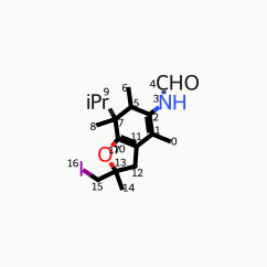 CC1=C(NC=O)C(C)C(C)(C(C)C)C2=C1CC(C)(CI)O2